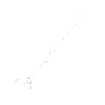 CCCCCCCCCCCCCCCCCC(=O)OCCCCCC(=O)NC(C)(CO)CO